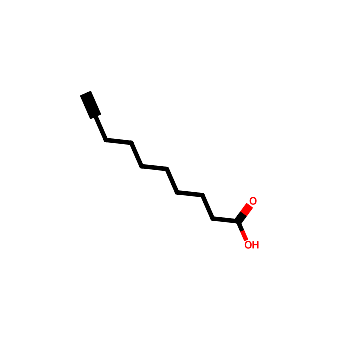 C#CCCCCCCCC(=O)O